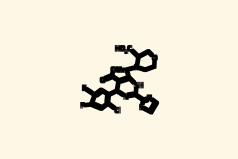 COC(=O)C1=C(CN2CCOCC2C(=O)O)NC(c2nccs2)=NC1c1cc(F)c(F)cc1Cl